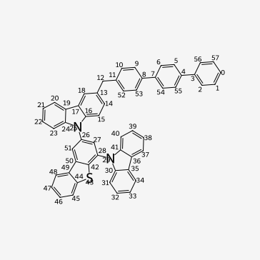 c1ccc(-c2ccc(-c3ccc(Cc4ccc5c(c4)c4ccccc4n5-c4cc(-n5c6ccccc6c6ccccc65)c5sc6ccccc6c5c4)cc3)cc2)cc1